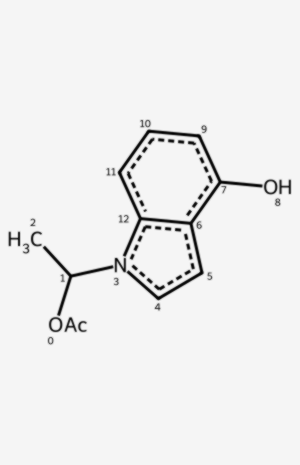 CC(=O)OC(C)n1ccc2c(O)cccc21